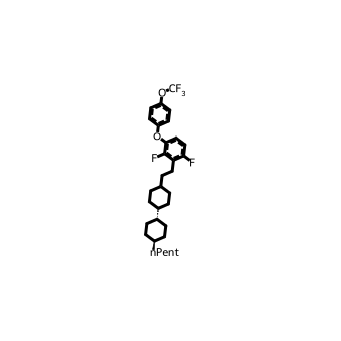 CCCCC[C@H]1CC[C@H](C2CCC(CCc3c(F)c[c]c(Oc4ccc(OC(F)(F)F)cc4)c3F)CC2)CC1